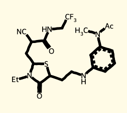 CCN1C(=O)C(CCNc2cccc(N(C)C(C)=O)c2)SC1CC(C#N)C(=O)NCC(F)(F)F